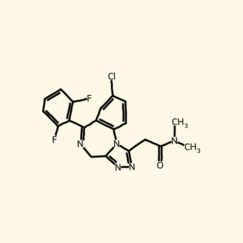 CN(C)C(=O)Cc1nnc2n1-c1ccc(Cl)cc1C(c1c(F)cccc1F)=NC2